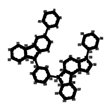 c1ccc(-c2ccc3c(c2)c2ccccc2n3-c2cccc(-n3c4ccccc4c4c5ccn(-c6ccccc6)c5ccc43)c2)cc1